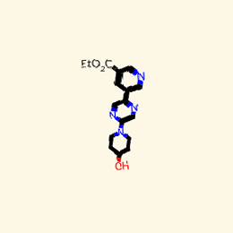 CCOC(=O)c1cncc(-c2cnc(N3CCC(O)CC3)cn2)c1